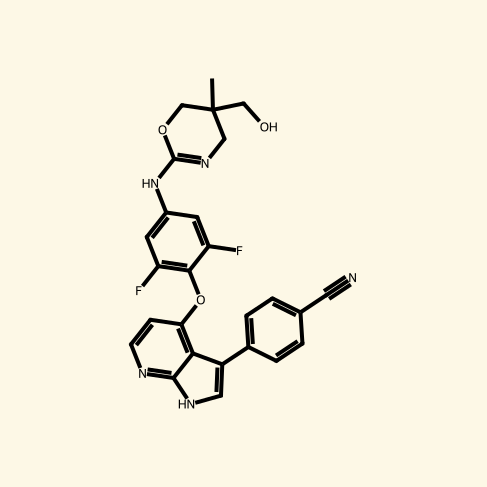 CC1(CO)CN=C(Nc2cc(F)c(Oc3ccnc4[nH]cc(-c5ccc(C#N)cc5)c34)c(F)c2)OC1